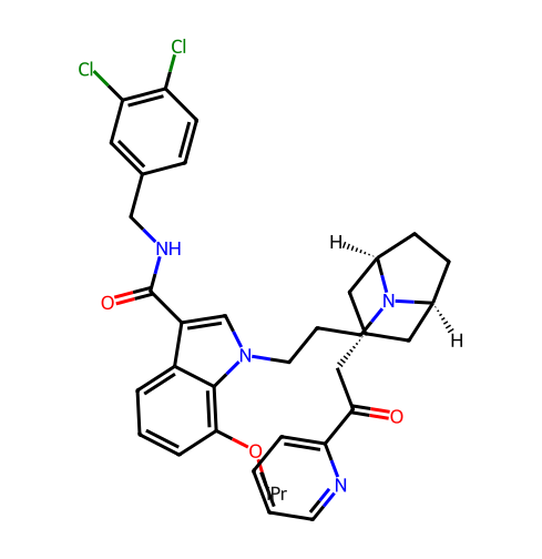 CC(C)Oc1cccc2c(C(=O)NCc3ccc(Cl)c(Cl)c3)cn(CCCN3[C@@H]4CC[C@H]3C[C@H](CC(=O)c3ccccn3)C4)c12